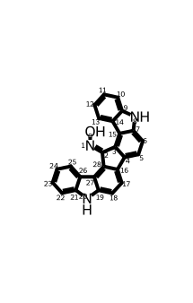 ON=C1c2c(ccc3[nH]c4ccccc4c23)-c2ccc3[nH]c4ccccc4c3c21